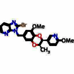 COc1ccc([C@@H]2Oc3c(OC)cc(Cn4c(Br)nc5cccnc54)cc3O[C@H]2C)cn1